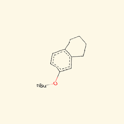 CCCCOc1ccc2c(c1)CCCC2